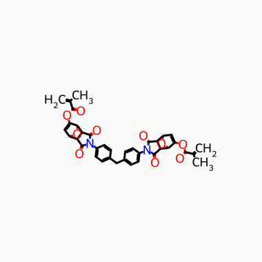 C=C(C)C(=O)OC1=CC2OC1C1C(=O)N(c3ccc(Cc4ccc(N5C(=O)C6C7C=C(OC(=O)C(=C)C)C(O7)C6C5=O)cc4)cc3)C(=O)C21